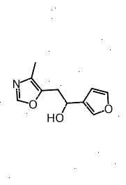 Cc1ncoc1CC(O)c1ccoc1